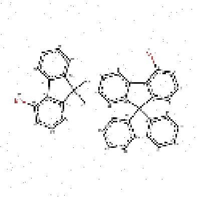 Brc1cccc2c1-c1ccccc1C2(c1ccccc1)c1ccccc1.CC1(C)c2ccccc2-c2c(Br)cccc21